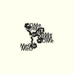 CO[Si]1(OC)CCCN1CCC[Si](CCCN1CCC[Si]1(OC)OC)(CCCN1CCC[Si]1(OC)OC)CCCN1CCC[Si]1(OC)OC